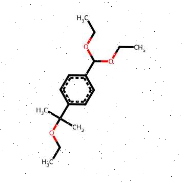 CCOC(OCC)c1ccc(C(C)(C)OCC)cc1